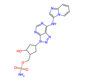 NS(=O)(=O)OCC1CC(n2nnc3c(Nc4cnc5ccccn45)ncnc32)CC1O